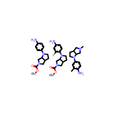 CC(C)(C)OC(=O)N1CC2CCN(c3ccc(N)cc3)C2C1.CC(C)(C)OC(=O)N1CC2CCN(c3ccc(N)cc3F)C2C1.Cc1cc(N2CCC3CN(C)CC32)ccc1N